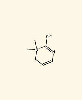 CCCC1=NC=CC[N+]1(C)C